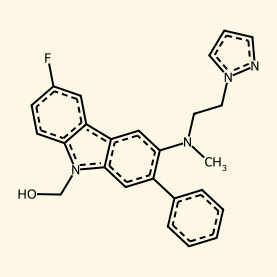 CN(CCn1cccn1)c1cc2c3cc(F)ccc3n(CO)c2cc1-c1ccccc1